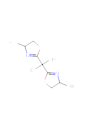 CCC(C)(C1=NC(C)CO1)C1=NC(C)CO1